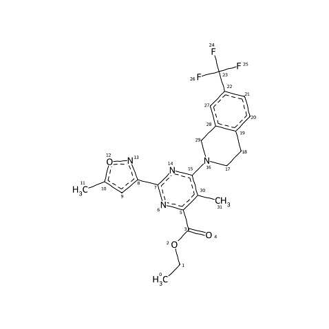 CCOC(=O)c1nc(-c2cc(C)on2)nc(N2CCc3ccc(C(F)(F)F)cc3C2)c1C